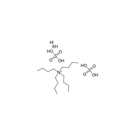 CCCC[N+](CCCC)(CCCC)CCCC.I.O=S(=O)(O)O.O=S(=O)(O)O.[KH]